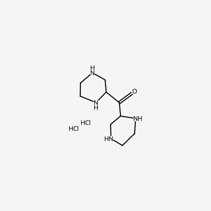 Cl.Cl.O=C(C1CNCCN1)C1CNCCN1